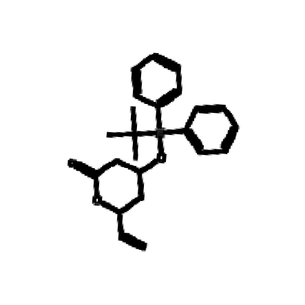 C=CC1CC(O[Si](c2ccccc2)(c2ccccc2)C(C)(C)C)CC(=O)O1